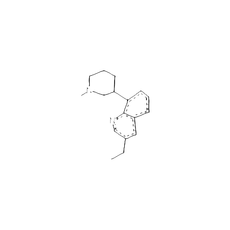 CCc1cnc2c(C3CCCN(C)C3)cccc2c1